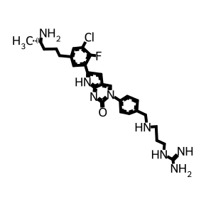 C[C@H](N)CCCc1cc(Cl)c(F)c(-c2cc3cn(-c4ccc(CNCCCNC(=N)N)cc4)c(=O)nc3[nH]2)c1